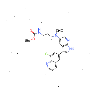 CC(C)(C)OC(=O)NCCCN(C=O)c1cnc2[nH]cc(-c3cc(F)c4ncccc4c3)c2c1